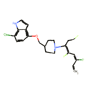 C=C/C(Cl)=C\C(F)=C(/CCF)N1CCC(COc2ccc(Cl)c3[nH]ccc23)CC1